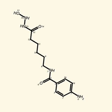 Nc1ccc(C(=O)NCCCCCC(=O)NNO)cc1